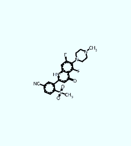 CN1CCN(c2c(F)cc3[nH]c(-c4cc(C#N)ccc4S(C)(=O)=O)cc(=O)c3c2F)CC1